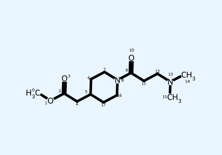 COC(=O)CC1CCN(C(=O)CCN(C)C)CC1